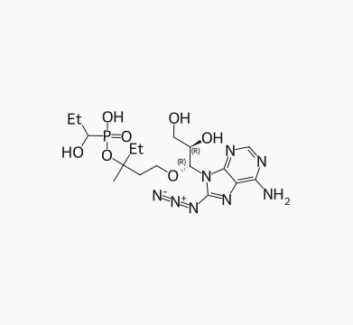 CCC(O)P(=O)(O)OC(C)(CC)CCO[C@H]([C@H](O)CO)n1c(N=[N+]=[N-])nc2c(N)ncnc21